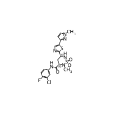 CN1[C@@H](C(=O)Nc2ccc(F)c(Cl)c2)C[C@@H](c2ncc(-c3ccn(C)n3)s2)NS1(=O)=O